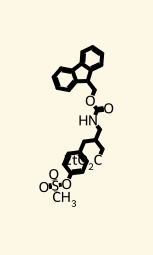 CCOC(=O)CC(CNC(=O)OCC1c2ccccc2-c2ccccc21)Cc1ccc(OS(C)(=O)=O)cc1